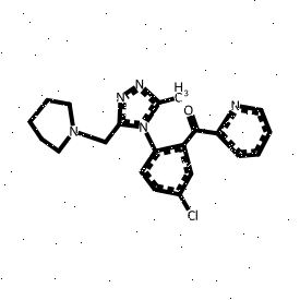 Cc1nnc(CN2CCCCC2)n1-c1ccc(Cl)cc1C(=O)c1ccccn1